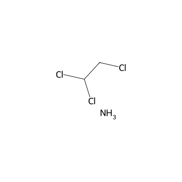 ClCC(Cl)Cl.N